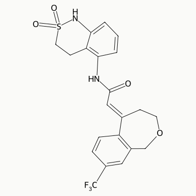 O=C(/C=C1\CCOCc2cc(C(F)(F)F)ccc21)Nc1cccc2c1CCS(=O)(=O)N2